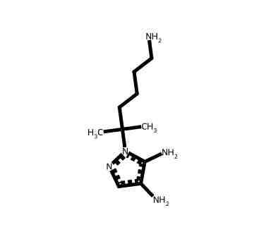 CC(C)(CCCCN)n1ncc(N)c1N